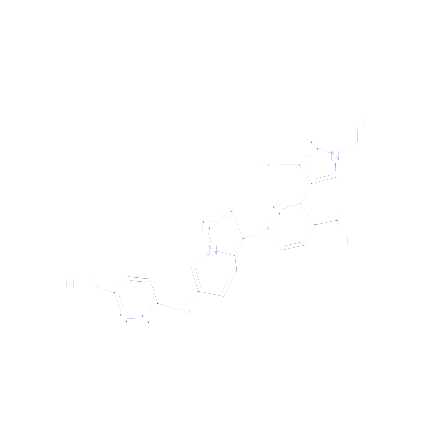 Cc1ccc(Oc2ccc3c(-c4ccc(C(F)F)c(-c5cn(CC(F)(F)F)nc5C)n4)cnn3c2)nn1